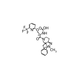 CN1N=C2CCN(C(=O)[C@@H](COc3cccc(C(F)(F)F)n3)NC(=O)O)C[C@@]2(Cc2ccccc2)C1=O